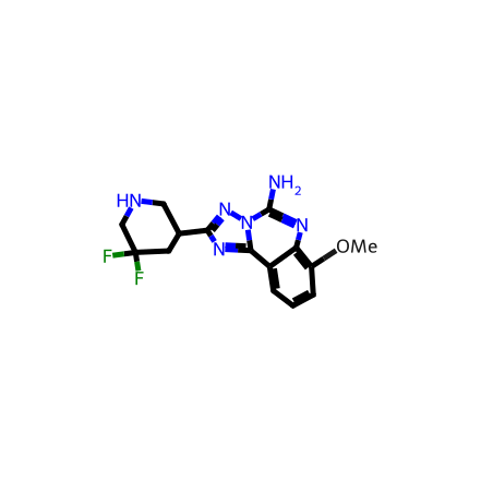 COc1cccc2c1nc(N)n1nc(C3CNCC(F)(F)C3)nc21